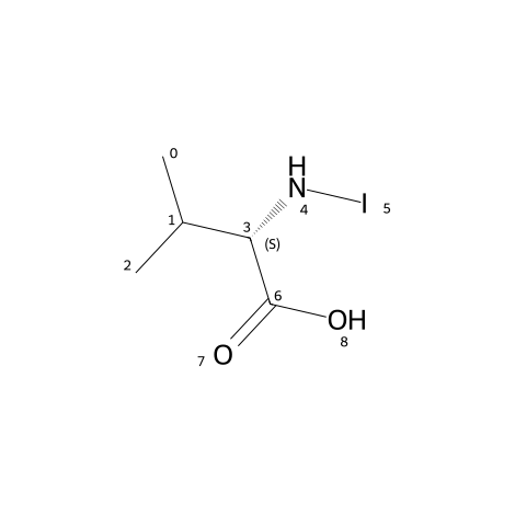 CC(C)[C@H](NI)C(=O)O